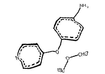 CC(C)(C)OC=O.Nc1ccc(Oc2ccncc2)cc1